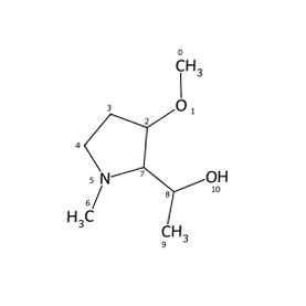 COC1CCN(C)C1C(C)O